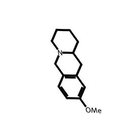 COc1ccc2c(c1)CC1CCCCN1C2